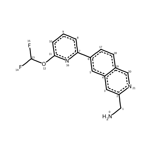 NCc1cc2cc(-c3cccc(OC(F)F)n3)ccc2cn1